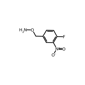 NOCc1ccc(F)c([N+](=O)[O-])c1